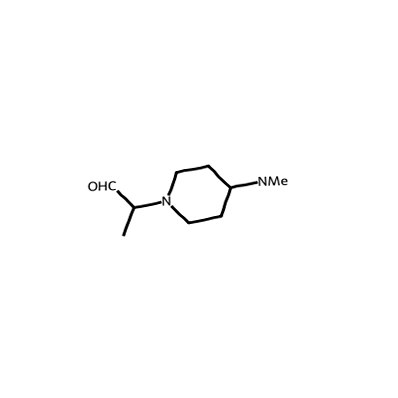 CNC1CCN(C(C)C=O)CC1